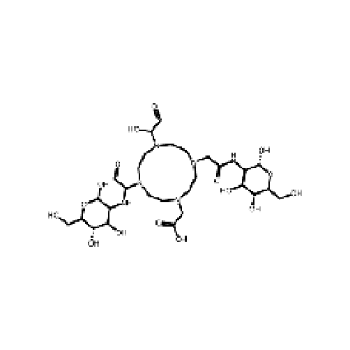 O=CC(O)N1CCN(CC(=O)NC2C(O)[C@H](O)C(CO)O[C@H]2O)CCN(CC(=O)O)CCN(C(C=O)NC2C(O)[C@H](O)C(CO)O[C@H]2O)CC1